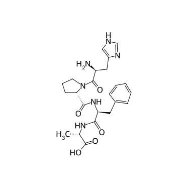 C[C@H](NC(=O)[C@H](Cc1ccccc1)NC(=O)[C@@H]1CCCN1C(=O)[C@@H](N)Cc1c[nH]cn1)C(=O)O